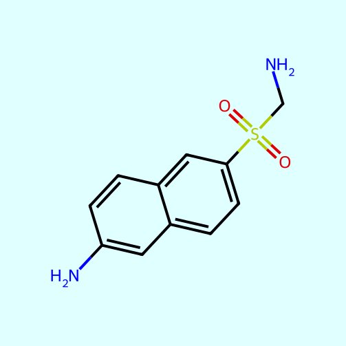 NCS(=O)(=O)c1ccc2cc(N)ccc2c1